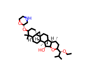 CCO[C@H](C(C)C)C1C[C@@H](C)[C@H]2C(O1)[C@H](O)[C@@]1(C)[C@@H]3CC[C@H]4C(C)(C)C(O[C@H]5CNCCO5)CC[C@@]45C[C@@]35CC[C@]21C